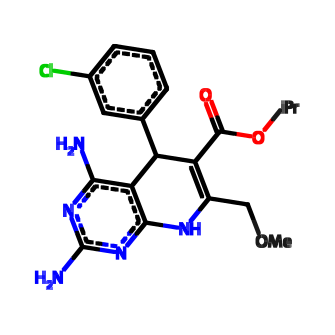 COCC1=C(C(=O)OC(C)C)C(c2cccc(Cl)c2)c2c(N)nc(N)nc2N1